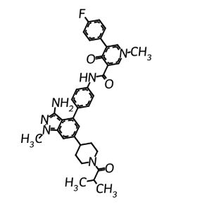 CC(C)C(=O)N1CCC(c2cc(-c3ccc(NC(=O)c4cn(C)cc(-c5ccc(F)cc5)c4=O)cc3)c3c(N)nn(C)c3c2)CC1